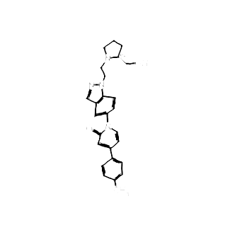 Cc1ccc(-c2ccn(-c3ccc4c(cnn4CCN4CCC[C@H]4CO)c3)c(=O)c2)cc1